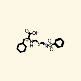 O=C(O)[C@H](CC1CCCCC1)NCS/C=N/S(=O)(=O)c1ccccc1